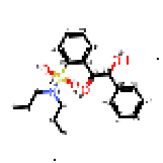 CCCN(CCC)S(=O)(=O)c1ccccc1C(=O)C(O)c1ccccc1